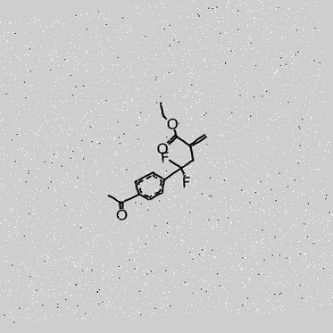 C=C(CC(F)(F)c1ccc(C(C)=O)cc1)C(=O)OCC